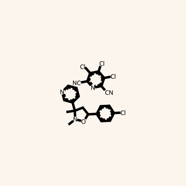 CN1OC(c2ccc(Cl)cc2)CC1(C)c1cccnc1.N#Cc1nc(C#N)c(Cl)c(Cl)c1Cl